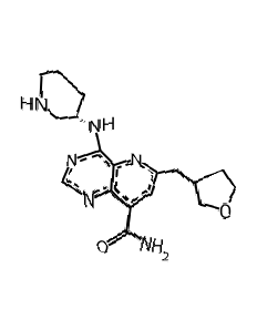 NC(=O)c1cc(CC2CCOC2)nc2c(N[C@H]3CCCNC3)ncnc12